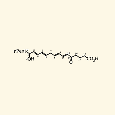 CCCCCC(O)/C=C/C=C/C/C=C/C=C/C(=O)CCCC(=O)O